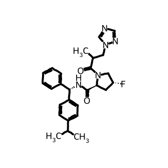 CC(Cn1cncn1)C(=O)N1C[C@H](F)C[C@H]1C(=O)N[C@@H](c1ccccc1)c1ccc(C(C)C)cc1